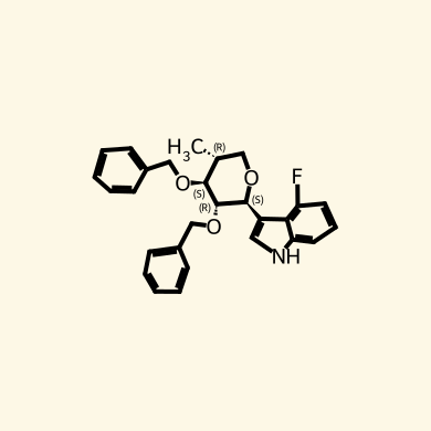 C[C@@H]1CO[C@@H](c2c[nH]c3cccc(F)c23)[C@H](OCc2ccccc2)[C@H]1OCc1ccccc1